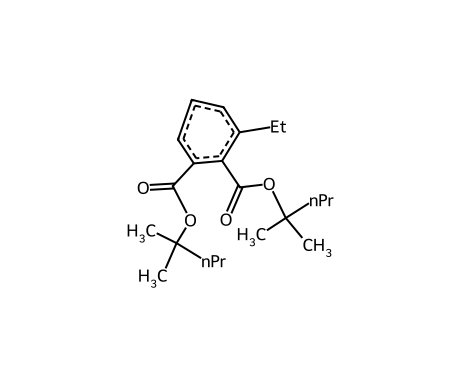 CCCC(C)(C)OC(=O)c1cccc(CC)c1C(=O)OC(C)(C)CCC